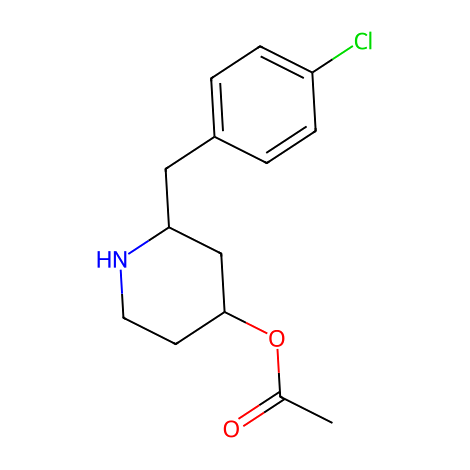 CC(=O)OC1CCNC(Cc2ccc(Cl)cc2)C1